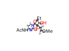 CC[C@H]1O[C@@H](n2ccc(NC(C)=O)nc2=O)[C@@H](O[C@H](C)[C@H](C)OC)C1O